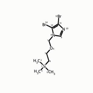 C[Si](C)(C)CCOCn1cnc(Br)c1Br